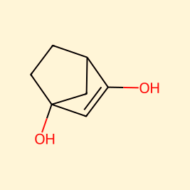 OC1=CC2(O)CCC1C2